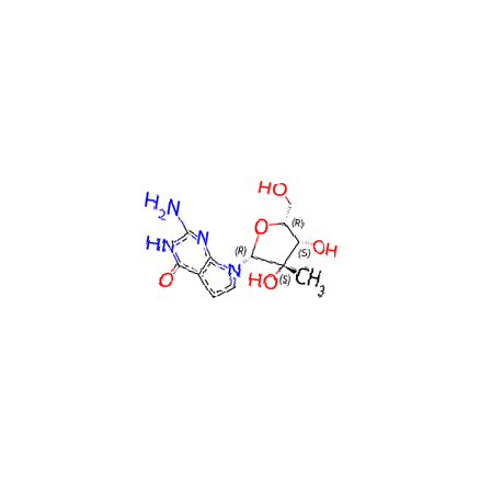 C[C@]1(O)[C@@H](O)[C@@H](CO)O[C@H]1n1ccc2c(=O)[nH]c(N)nc21